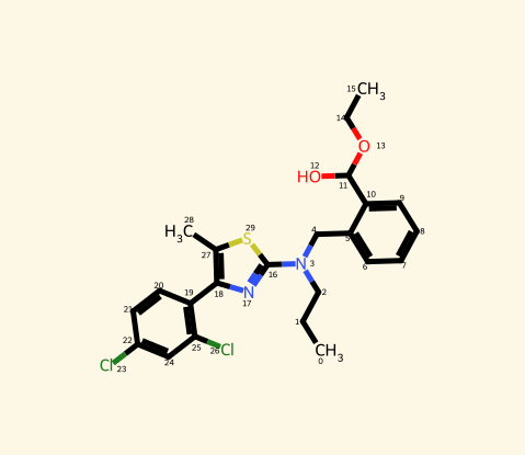 CCCN(Cc1ccccc1C(O)OCC)c1nc(-c2ccc(Cl)cc2Cl)c(C)s1